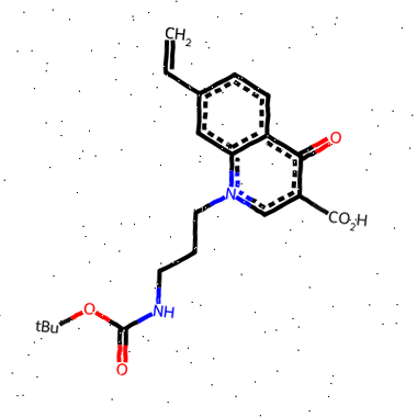 C=Cc1ccc2c(=O)c(C(=O)O)cn(CCCNC(=O)OC(C)(C)C)c2c1